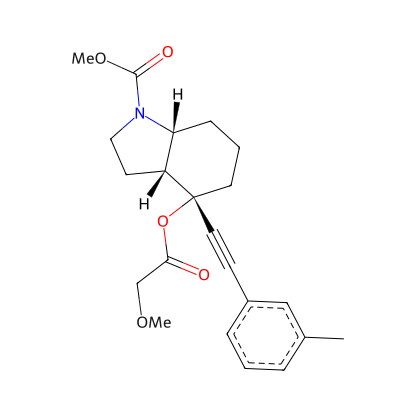 COCC(=O)O[C@@]1(C#Cc2cccc(C)c2)CCC[C@@H]2[C@H]1CCN2C(=O)OC